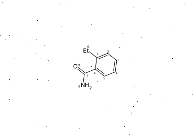 [CH2]Cc1ccccc1C(N)=O